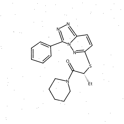 CC[C@@H](Sc1ccc2nnc(-c3ccccc3)n2n1)C(=O)N1CCCCC1